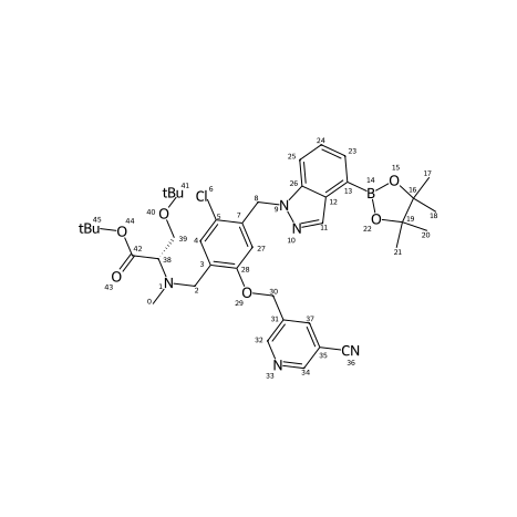 CN(Cc1cc(Cl)c(Cn2ncc3c(B4OC(C)(C)C(C)(C)O4)cccc32)cc1OCc1cncc(C#N)c1)[C@@H](COC(C)(C)C)C(=O)OC(C)(C)C